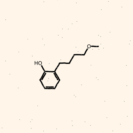 COCCCCc1ccccc1O